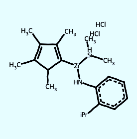 CC1=C(C)C(C)[C]([Zr]([NH]c2ccccc2C(C)C)[SiH](C)C)=C1C.Cl.Cl